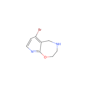 Brc1ccnc2c1CNCCO2